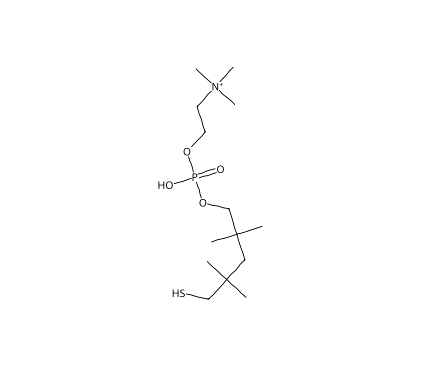 CC(C)(CS)CC(C)(C)COP(=O)(O)OCC[N+](C)(C)C